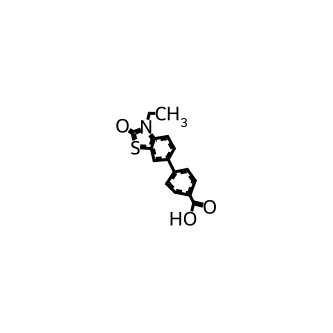 CCn1c(=O)sc2cc(-c3ccc(C(=O)O)cc3)ccc21